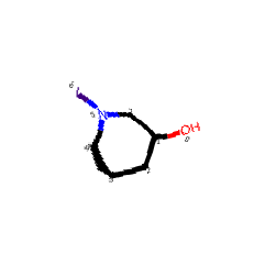 OC1CCCN(I)C1